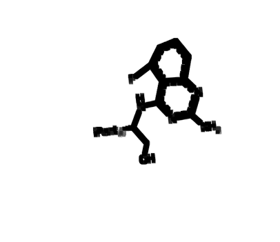 CCC[C@@H](C)C(CO)Nc1nc(N)nc2cccc(F)c12